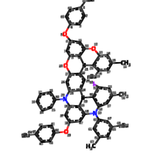 CCCCc1ccc(Oc2cc3c4c(c2)Oc2cc(C)cc(CCCC)c2B4c2cc4c(cc2O3)N(c2ccccc2)c2cc(Oc3ccc(C(C)(C)C)cc3)cc3c2B4c2c(I)cc(C)cc2N3c2cc(C)cc(CCCC)c2)cc1